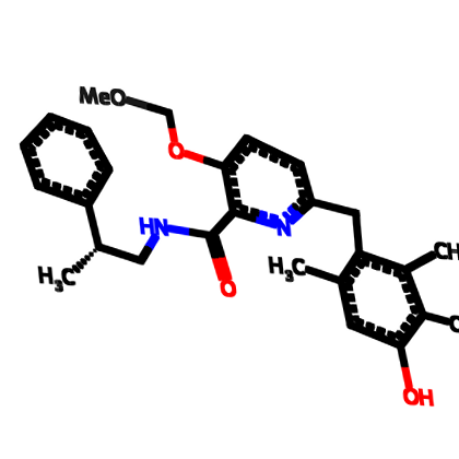 COCOc1ccc(Cc2c(C)cc(O)c(C)c2C)nc1C(=O)NC[C@H](C)c1ccccc1